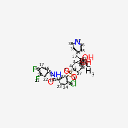 C[C@H]1CC2C[C@@H](S(=O)(=O)c3cc(C(=O)Nc4ccc(F)c(F)c4)ccc3Cl)CC1[C@@]2(O)C(O)Cc1ccncc1